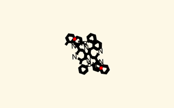 C=NC(=N\c1ccccc1C)/C(C#N)=c1/c2c(C(C)C)n(B(c3ccccc3)c3ccccc3)/c(=C(/C#N)c3ncc4ccccc4n3)c2c(-c2ccccc2C)n1B(c1ccccc1)c1ccccc1